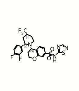 O=S(=O)(Nc1ncns1)c1ccc2c(c1)OCC[C@@H]2N1CC[C@@H](C(F)(F)F)C[C@@H]1c1ccc(F)c(F)c1